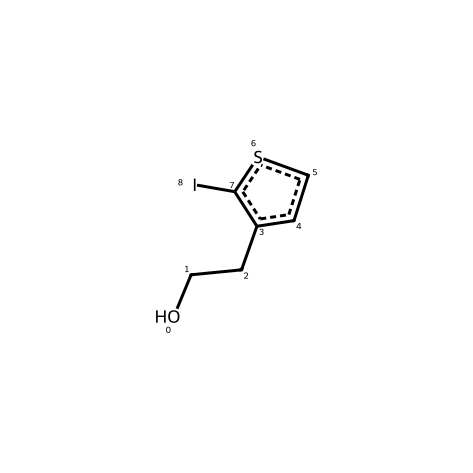 OCCc1ccsc1I